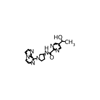 CC(O)c1cnc(C(=O)N[C@H]2CCN(c3nccn4ccnc34)C2)nc1